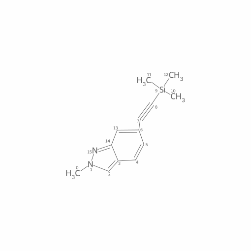 Cn1cc2ccc(C#C[Si](C)(C)C)cc2n1